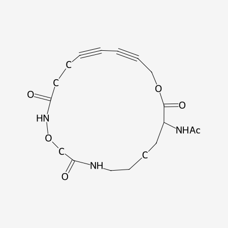 CC(=O)NC1CCCCNC(=O)CONC(=O)CCC#CC#CCOC1=O